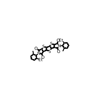 CCc1cccc(C)c1-n1c(=O)c2sc3c4sc5c(=O)n(-c6c(C)cccc6CC)c(=O)c5c4sc3c2c1=O